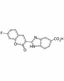 O=C(O)c1ccc2[nH]c(-c3cc4ccc(F)cc4oc3=O)nc2c1